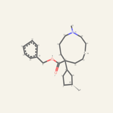 C[C@@H]1CCC(C2(C(=O)OCc3ccccc3)CCCCCN(C)CCC2)C1